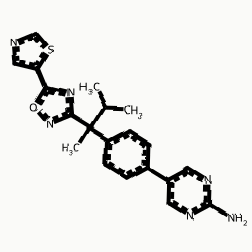 CC(C)C(C)(c1ccc(-c2cnc(N)nc2)cc1)c1noc(-c2cncs2)n1